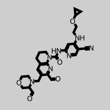 N#Cc1cnc(NC(=O)N2CCCc3cc(CN4CCOCC4C=O)c(C=O)nc32)cc1NCCOC1CC1